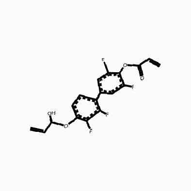 C=CC(=O)Oc1c(F)cc(-c2ccc(OC(O)C=C)c(F)c2F)cc1F